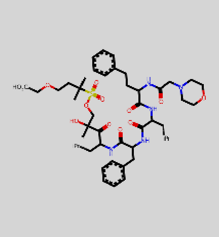 CC(C)CC(NC(=O)C(CCc1ccccc1)NC(=O)CN1CCOCC1)C(=O)NC(Cc1ccccc1)C(=O)NC(CC(C)C)C(=O)C(C)(O)COS(=O)(=O)C(C)(C)CCOCC(=O)O